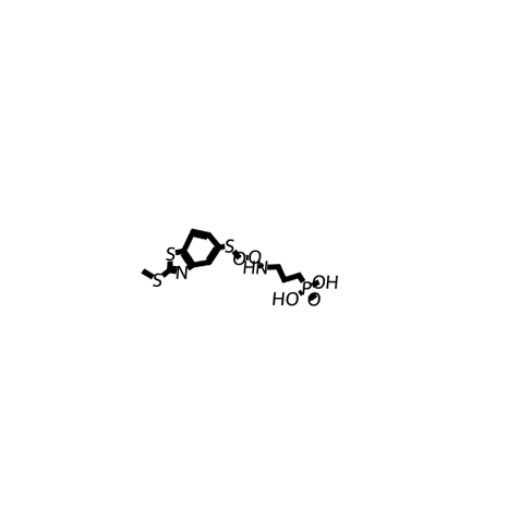 CSc1nc2cc(SOONCCCP(=O)(O)O)ccc2s1